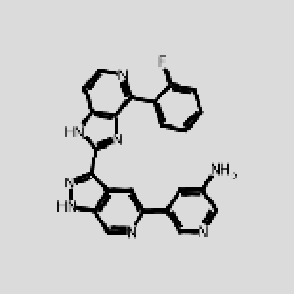 Nc1cncc(-c2cc3c(-c4nc5c(-c6ccccc6F)nccc5[nH]4)n[nH]c3cn2)c1